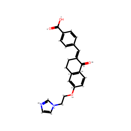 O=C(O)c1ccc(/C=C2\CCc3cc(OCCn4ccnc4)ccc3C2=O)cc1